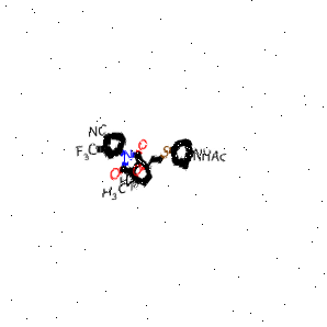 CC(=O)Nc1ccc(SCC[C@@]23C=C[C@@](C)(O2)[C@H]2C(=O)N(c4ccc(C#N)c(C(F)(F)F)c4)C(=O)C23)cc1